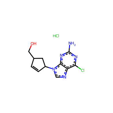 Cl.Nc1nc(Cl)c2ncn(C3C=CC(CO)C3)c2n1